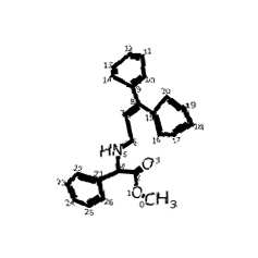 COC(=O)C(NCC=C(c1ccccc1)c1ccccc1)c1ccccc1